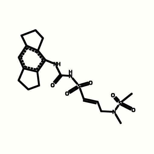 CN(C/C=C/S(=O)(=O)NC(=O)Nc1c2c(cc3c1CCC3)CCC2)S(C)(=O)=O